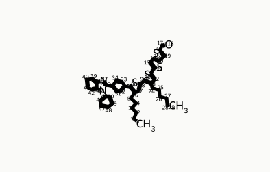 CCCCCCc1cc(-c2sc(-c3cc4sc(C=O)cc4s3)cc2CCCCCC)sc1-c1ccc(-c2nc3ccccc3n2-c2ccccc2)cc1